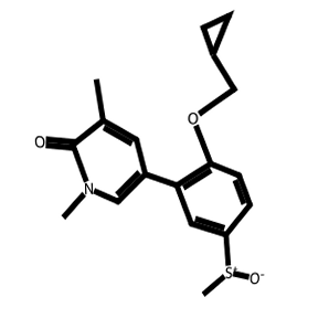 Cc1cc(-c2cc([S+](C)[O-])ccc2OCC2CC2)cn(C)c1=O